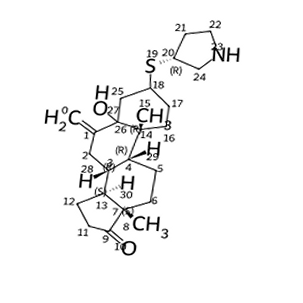 C=C1C[C@@H]2[C@@H](CC[C@]3(C)C(=O)CC[C@@H]23)[C@@]2(C)CCC(S[C@@H]3CCNC3)CC12O